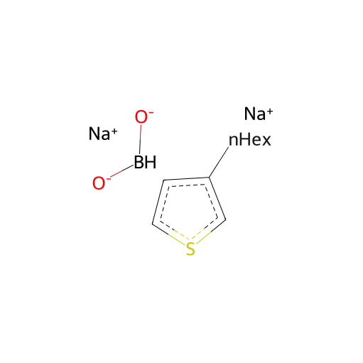 CCCCCCc1ccsc1.[Na+].[Na+].[O-]B[O-]